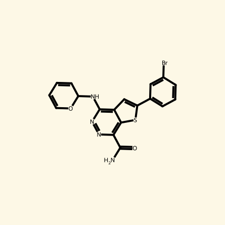 NC(=O)c1nnc(NC2C=CC=CO2)c2cc(-c3cccc(Br)c3)sc12